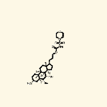 CC[C@H]1[C@@H](O)[C@@H]2[C@H](CC[C@]3(C)[C@@H](CCCOC(=O)NS(=O)(=O)N4CCOCC4)CC[C@@H]23)[C@@]2(C)CC[C@@H](O)C[C@@H]12